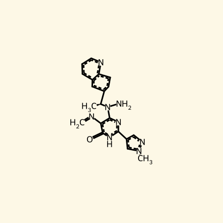 C=Nc1c(N(N)[C@@H](C)c2ccc3ncccc3c2)nc(-c2cnn(C)c2)[nH]c1=O